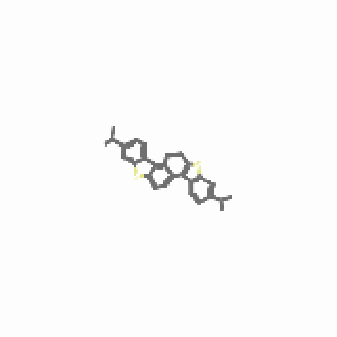 CC(C)c1ccc2c(c1)sc1ccc3c(ccc4sc5cc(C(C)C)ccc5c43)c12